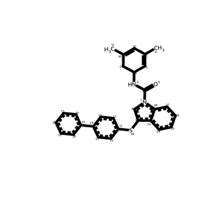 CC1=CC(NC(=O)n2cc(Sc3ccc(-c4ccccc4)cc3)c3ccccc32)CC(C)=C1